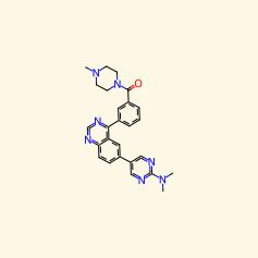 CN1CCN(C(=O)c2cccc(-c3ncnc4ccc(-c5cnc(N(C)C)nc5)cc34)c2)CC1